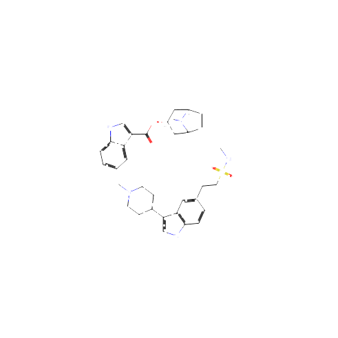 CN1[C@@H]2CC[C@H]1C[C@@H](OC(=O)c1c[nH]c3ccccc13)C2.CNS(=O)(=O)CCc1ccc2[nH]cc(C3CCN(C)CC3)c2c1